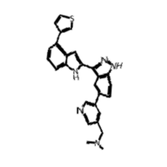 CN(C)Cc1cncc(-c2ccc3[nH]nc(-c4cc5c(-c6ccsc6)cccc5[nH]4)c3c2)c1